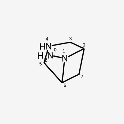 NN1C2CNCC1C2